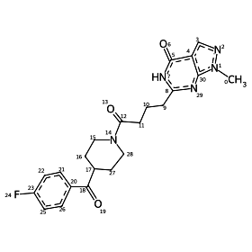 Cn1ncc2c(=O)[nH]c(CCCC(=O)N3CCC(C(=O)c4ccc(F)cc4)CC3)nc21